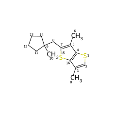 Cc1csc2c(C)c(CC3(C)CCCC3)sc12